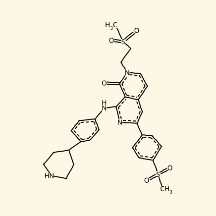 CS(=O)(=O)CCn1ccc2cc(-c3ccc(S(C)(=O)=O)cc3)nc(Nc3ccc(C4CCNCC4)cc3)c2c1=O